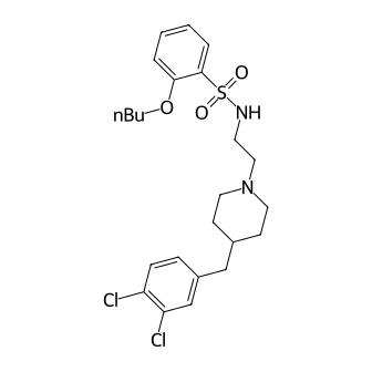 CCCCOc1ccccc1S(=O)(=O)NCCN1CCC(Cc2ccc(Cl)c(Cl)c2)CC1